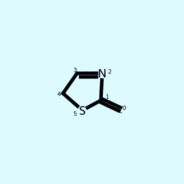 [CH]=C1N=CCS1